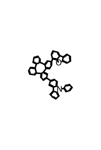 c1ccc(-n2c3ccccc3c3cc(-c4ccc5c(c4)-c4ccc(-c6cccc7c6oc6ccccc67)cc4-c4ccccc4-c4ccccc4-5)ccc32)cc1